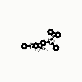 CC1(C)c2cc(-c3nc(-c4ccccc4)nc(-n4c5ccccc5c5ccccc54)n3)ccc2-c2cc3nc(-c4ccccc4)oc3cc21